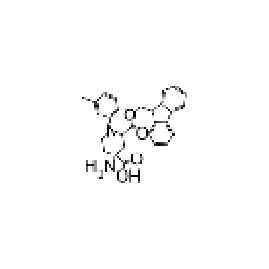 Cc1cccc(N2CCC(N)(C(=O)O)CC2C(=O)OCC2c3ccccc3-c3ccccc32)c1